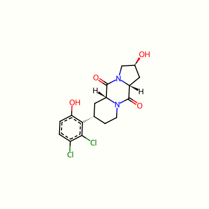 O=C1[C@H]2C[C@H](O)CN2C(=O)[C@H]2C[C@@H](c3c(O)ccc(Cl)c3Cl)CCN12